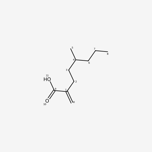 C=C(CCC(C)CCC)C(=O)O